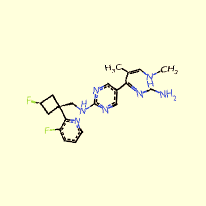 CN/C=C(C)\C(=N/CN)c1cnc(NC[C@]2(c3ncccc3F)C[C@H](F)C2)nc1